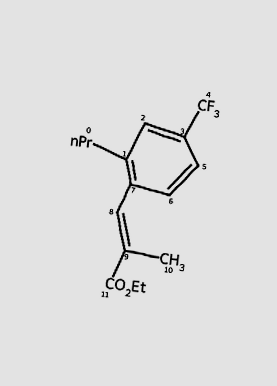 CCCc1cc(C(F)(F)F)ccc1C=C(C)C(=O)OCC